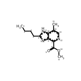 CCCCc1nc2c(C(=O)OC)ncc(C)c2[nH]1